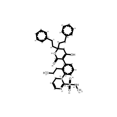 CCCc1c(C2=C(O)CC(CCc3ccccc3)(CCc3ccccc3)OC2=O)cccc1N1CC=CN=C1S(=O)(=O)NC